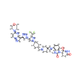 Cn1c(=O)n(C2CCC(=O)NC2=O)c2cccc(N3CC4(CCN(CC5CCC(n6cc(-n7cc(-c8cnn9ccc(N%10CCOCC%10)nc89)nn7)c(C(F)F)n6)CC5)CC4)C3)c21